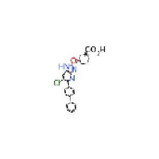 O=C(O)[C@H]1CCC[C@@H](Oc2nc3nc(-c4ccc(-c5ccccc5)cc4)c(Cl)cc3[nH]2)C1